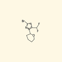 FC(F)c1cc(Br)nn1C1CCCCO1